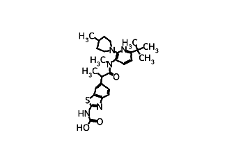 CC1CCN(c2nc(C(C)(C)C)ccc2N(C)C(=O)C(C)c2ccc3nc(NC(=O)O)sc3c2)CC1